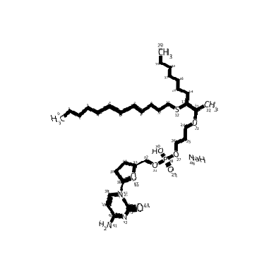 CCCCCCCCCCCCSC(CCCCCCC)C(C)OCCCOP(=O)(O)OC[C@@H]1CC[C@H](n2ccc(N)nc2=O)O1.[NaH]